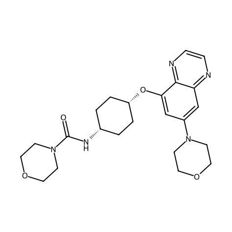 O=C(N[C@H]1CC[C@@H](Oc2cc(N3CCOCC3)cc3nccnc23)CC1)N1CCOCC1